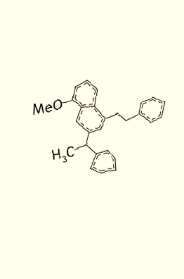 COc1cccc2c(CCc3ccccc3)cc(C(C)c3ccccc3)cc12